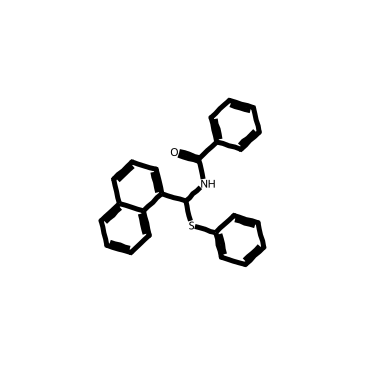 O=C(NC(Sc1ccccc1)c1cccc2ccccc12)c1ccccc1